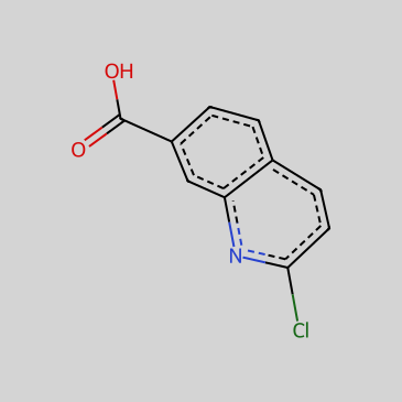 O=C(O)c1ccc2ccc(Cl)nc2c1